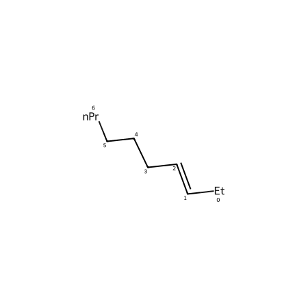 [CH2]C/C=C/CCCCC[CH2]